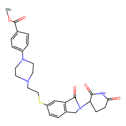 CC(C)(C)OC(=O)c1ccc(N2CCN(CCSc3ccc4c(c3)C(=O)N(C3CCC(=O)NC3=O)C4)CC2)cc1